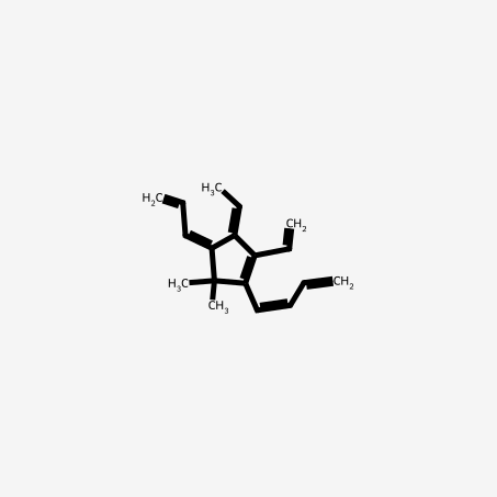 C=C/C=C\C1=C(C=C)C(=C/C)/C(=C\C=C)C1(C)C